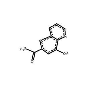 NC(=O)c1cc(O)c2ncccc2n1